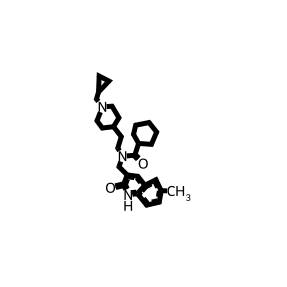 Cc1ccc2[nH]c(=O)c(CN(CCC3CCN(CC4CC4)CC3)C(=O)C3CCCCC3)cc2c1